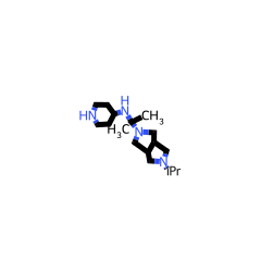 CC(C)N1CC2CN(C(C)(C)NC3CCNCC3)CC2C1